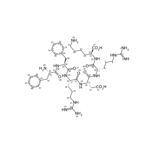 N=C(N)NCCC[C@H](NC(=O)[C@H](CC(=O)O)NC(=O)[C@H](CCCNC(=N)N)NC(=O)[C@H](Cc1ccccc1)NC(=O)[C@@H](N)Cc1ccccc1)C(=O)N[C@@H](CCCCN)C(=O)O